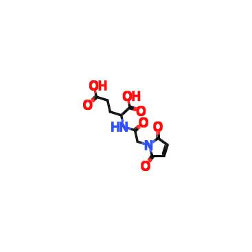 O=C(O)CCC(NC(=O)CN1C(=O)C=CC1=O)C(=O)O